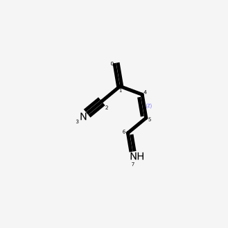 C=C(C#N)/C=C\C=N